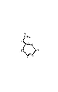 CCCCCC1=CCC=CO1